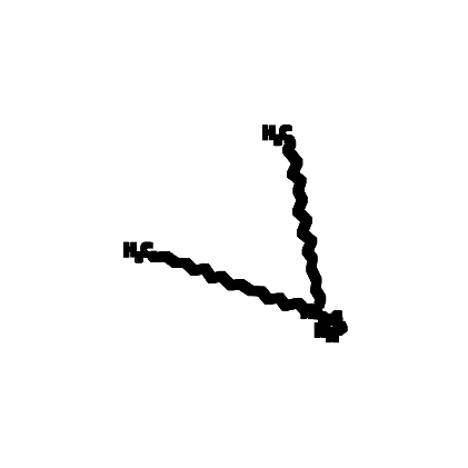 CCCCCCCCCCCCCCCCCC[SH](CCCCCCCCCCCCCCCCCC)c1nncs1